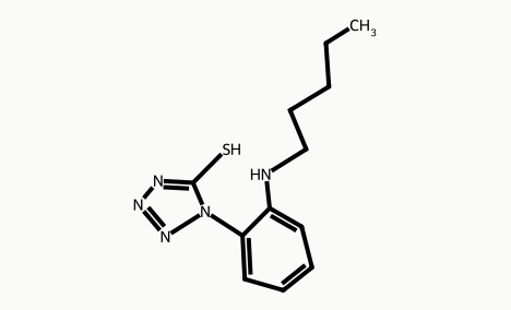 CCCCCNc1ccccc1-n1nnnc1S